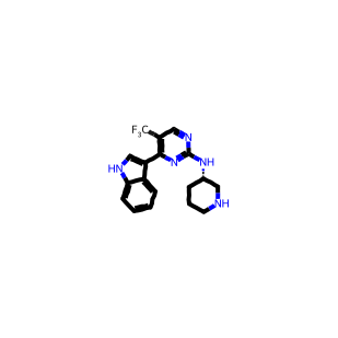 FC(F)(F)c1cnc(N[C@H]2CCCNC2)nc1-c1c[nH]c2ccccc12